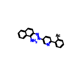 CC(=O)c1ccccc1-c1ccc(N=Nc2ccc3ccccc3c2N)cn1